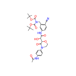 CC(=O)Nc1ccc(N2CCO[C@H]([C@@H](O)C(=O)Nc3ccc(C#N)c(CN(C(=O)OC(C)(C)C)C(=O)OC(C)(C)C)c3)C2=O)cc1